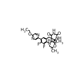 CCOc1cnc(-c2cc3c(c(F)c2F)N2C[C@@H](C)O[C@@H](C)[C@@H]2C2(C3)C(=O)NC(=O)NC2=O)cn1